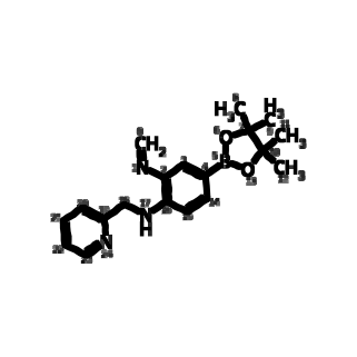 C=Nc1cc(B2OC(C)(C)C(C)(C)O2)ccc1NCc1ccccn1